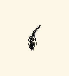 CCCOCCOCCOCCn1cc(-c2cccc(NC(=O)N3CCC4(CC3)NC(=O)N(c3cccc5nccn35)C4=O)c2)nn1